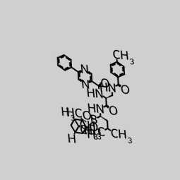 Cc1ccc(C(=O)NC[C@H](NC(=O)c2cnc(-c3ccccc3)cn2)C(=O)N[C@@H](CC(C)C)B2O[C@@H]3C[C@@H]4C[C@@H](C4(C)C)[C@]3(C)O2)cc1